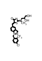 CN(CC(O)CO)C1=NC(=O)C(=Cc2ccc3c(cnn3Cc3ccc(Cl)cc3C(F)(F)F)c2)S1